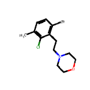 Cc1ccc(C(C)C)c(CCN2CCOCC2)c1Cl